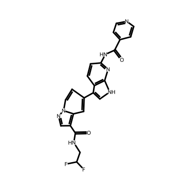 O=C(Nc1ccc2c(-c3ccn4ncc(C(=O)NCC(F)F)c4c3)c[nH]c2n1)c1ccncc1